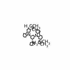 C[Si](C)(C)c1ccc2c3ccccc3n(-c3cc(-c4ccccn4)cc(-n4c5ccccc5c5ccc([Si](C)(C)C)cc54)c3)c2c1